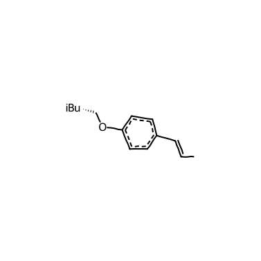 CC=Cc1ccc(OC[C@@H](C)CC)cc1